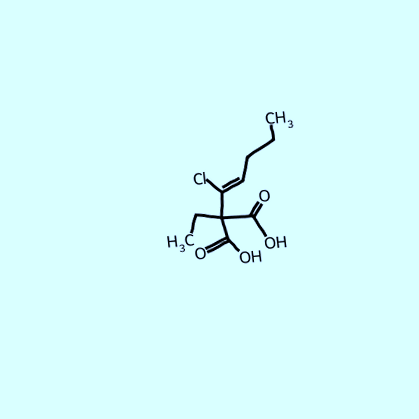 CCCC=C(Cl)C(CC)(C(=O)O)C(=O)O